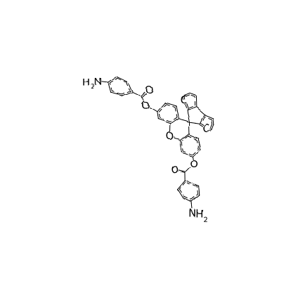 Nc1ccc(C(=O)Oc2ccc3c(c2)Oc2cc(OC(=O)c4ccc(N)cc4)ccc2C32c3ccccc3-c3ccccc32)cc1